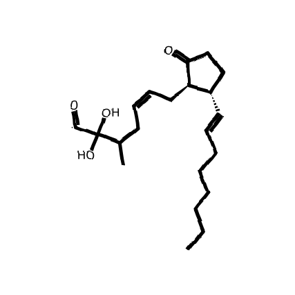 CCCCCC/C=C/[C@H]1CCC(=O)[C@@H]1C/C=C\CC(C)C(O)(O)[C]=O